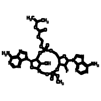 COP1(=O)OC[C@H]2O[C@@H](n3cnc4c(N)ncnc43)C(OP(=O)(OCOC(=O)OC(C)C)OCC3OC(n4cnc5c(N)ncnc54)C(F)C3O1)C2O